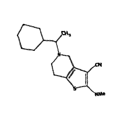 CNc1sc2c(c1C#N)CN(C(C)C1CCCCC1)CC2